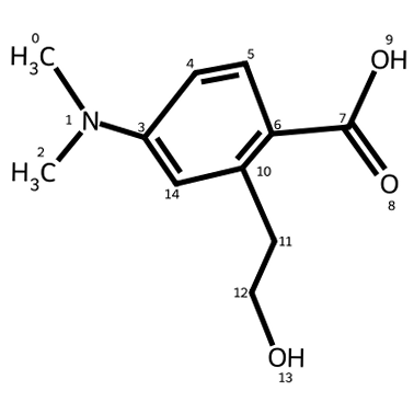 CN(C)c1ccc(C(=O)O)c(CCO)c1